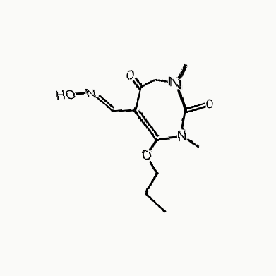 CCCOc1c(/C=N/O)c(=O)n(C)c(=O)n1C